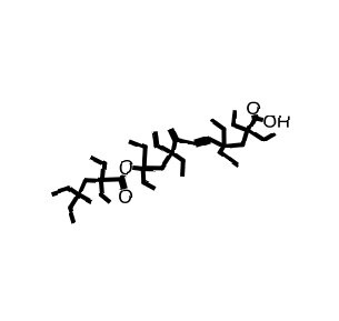 C=C(C#CC(CC)(CC)CC(CC)(CC)C(=O)O)C(CC)(CC)CC(CC)(CC)OC(=O)C(CC)(CC)CC(C)(CC)CC